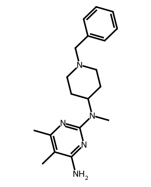 Cc1nc(N(C)C2CCN(Cc3ccccc3)CC2)nc(N)c1C